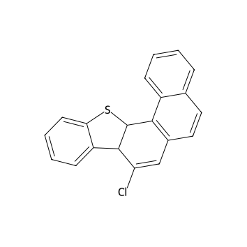 ClC1=Cc2ccc3ccccc3c2C2Sc3ccccc3C12